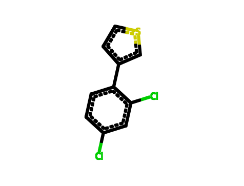 Clc1ccc(-c2ccsc2)c(Cl)c1